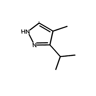 Cc1[c][nH]nc1C(C)C